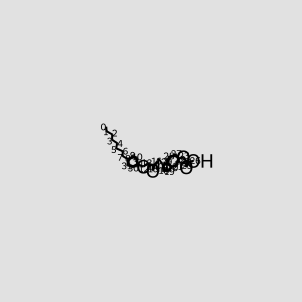 CCCCCCCCc1ccc(OCC(=O)Cn2ccc3cc(OC(=O)O)ccc32)cc1